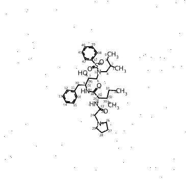 CCC(C)CN(C[C@@H](O)[C@H](Cc1ccccc1)NC(=O)[C@@H](NC(=O)CN1CCCC1)[C@@H](C)CC)S(=O)(=O)c1ccccc1